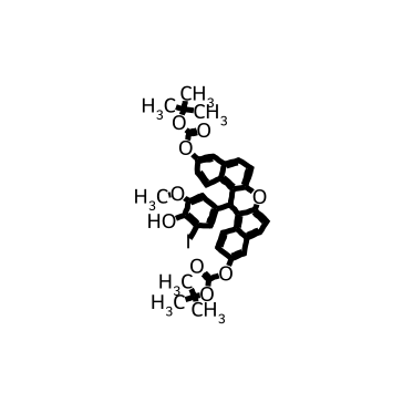 COc1cc(C2c3c(ccc4cc(OC(=O)OC(C)(C)C)ccc34)Oc3ccc4cc(OC(=O)OC(C)(C)C)ccc4c32)cc(I)c1O